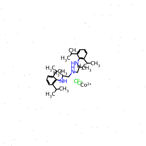 CC(CNCC(C)Nc1c(C(C)C)cccc1C(C)C)Nc1c(C(C)C)cccc1C(C)C.[Cl-].[Cl-].[Co+2]